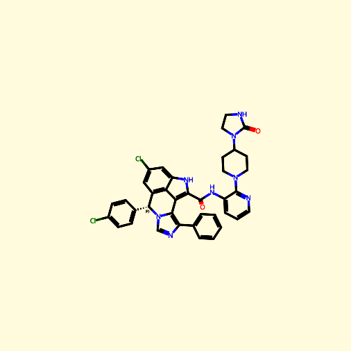 O=C(Nc1cccnc1N1CCC(N2CCNC2=O)CC1)c1[nH]c2cc(Cl)cc3c2c1-c1c(-c2ccccc2)ncn1[C@@H]3c1ccc(Cl)cc1